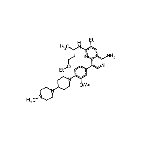 CCOCCC(C)Nc1nc2c(-c3ccc(N4CCC(N5CCN(C)CC5)CC4)c(OC)c3)cnc(N)c2cc1CC